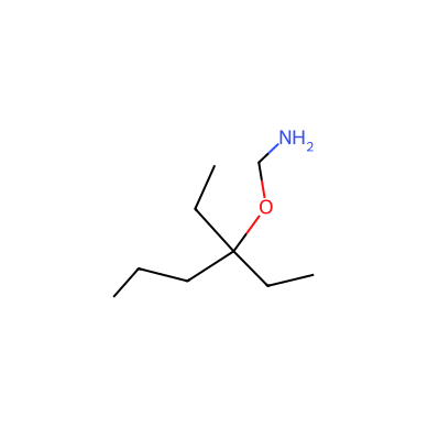 CCCC(CC)(CC)OCN